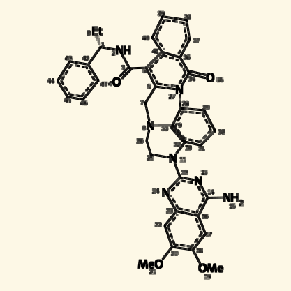 CC[C@H](NC(=O)c1c(CN2CCN(c3nc(N)c4cc(OC)c(OC)cc4n3)CC2)n(-c2ccccc2)c(=O)c2ccccc12)c1ccccc1